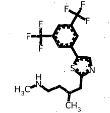 CNCCC(C)Cc1ncc(-c2cc(C(F)(F)F)cc(C(F)(F)F)c2)s1